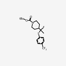 CC(C)(C)OC(=O)N1CCC(C(C)(F)Sc2ccc(C(F)(F)F)cc2)CC1